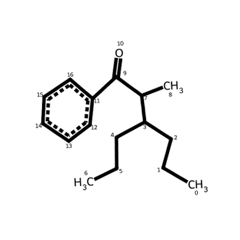 CCCC(CCC)C(C)C(=O)c1ccccc1